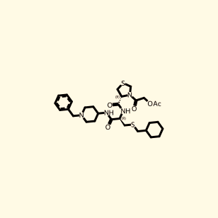 CC(=O)OCC(=O)N1CSC[C@H]1C(=O)N[C@@H](CSCC1CCCCC1)C(=O)NC1CCN(Cc2ccccc2)CC1